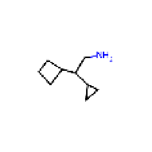 NCC(C1CCC1)C1CC1